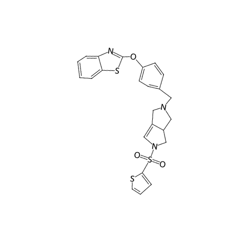 O=S(=O)(c1cccs1)N1C=C2CN(Cc3ccc(Oc4nc5ccccc5s4)cc3)CC2C1